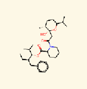 CC[C@H](Cc1ccccc1)[C@@H](OC(=O)[C@@H]1CCCCN1C(=O)C[C@]1(O)OC(C(C)C)CC[C@H]1C)C(C)C